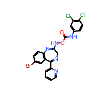 O=C(Nc1ccc(Cl)c(Cl)c1)ONC1=Nc2ccc(Br)cc2C(c2ccccn2)=NC1